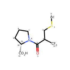 CC(=O)SCC(C(=O)N1CCC[C@H]1C(=O)O)C(F)(F)F